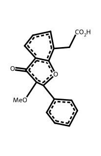 COc1c(-c2ccccc2)oc2c(CC(=O)O)cccc2c1=O